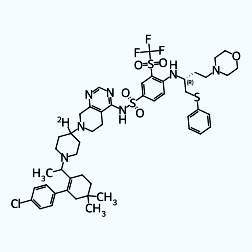 [2H]C1(N2CCc3c(ncnc3NS(=O)(=O)c3ccc(N[C@H](CCN4CCOCC4)CSc4ccccc4)c(S(=O)(=O)C(F)(F)F)c3)C2)CCN(C(C)C2=C(c3ccc(Cl)cc3)CC(C)(C)CC2)CC1